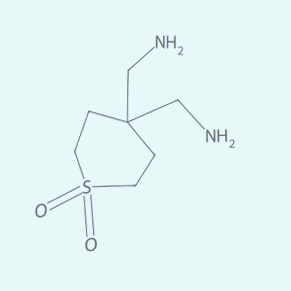 NCC1(CN)CCS(=O)(=O)CC1